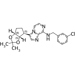 CC1(C)O[C@@H]2[C@@H](CC[C@H]2c2cnc3c(NCc4cccc(Cl)c4)nccn23)O1